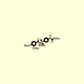 CNC(=O)Nc1ccc(S(=O)(=O)N(OC)C(=O)c2ccc(OC)c(OC)c2)cc1